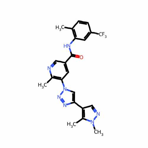 Cc1ccc(C(F)(F)F)cc1NC(=O)c1cnc(C)c(-n2cc(-c3cnn(C)c3C)nn2)c1